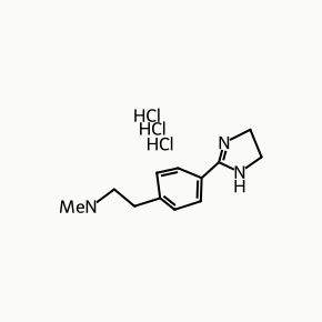 CNCCc1ccc(C2=NCCN2)cc1.Cl.Cl.Cl